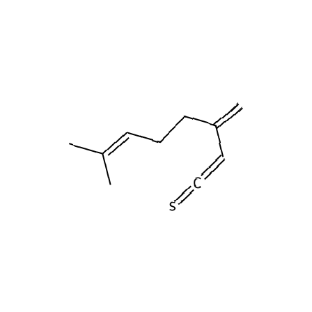 C=C(C=C=S)CCC=C(C)C